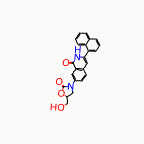 O=C1OC(CO)CN1c1ccc2cc(-c3cccc4ccccc34)[nH]c(=O)c2c1